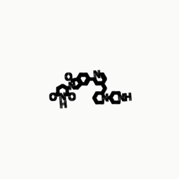 O=C1CCC(N2Cc3cc(-c4cc(CC5CCCCN5C5CCNCC5)ccn4)ccc3C2=O)C(=O)N1